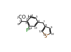 CC(C(=O)O)c1ccc(Cc2ccsc2)cc1F